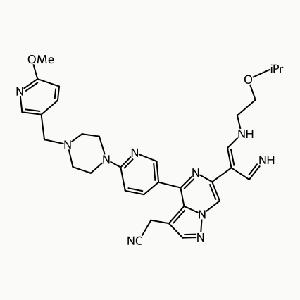 COc1ccc(CN2CCN(c3ccc(-c4nc(/C(C=N)=C/NCCOC(C)C)cn5ncc(CC#N)c45)cn3)CC2)cn1